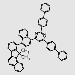 CC1(C)c2c(cccc2-c2ccc(-c3cc(-c4ccc(-c5ccccc5)cc4)nc(-c4ccc(-c5ccccc5)cc4)n3)c3ccccc23)-c2ccc3ccccc3c21